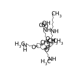 CCCCCCCCNCCC[C@@H](C)[C@H]1CC[C@H]2C3C(C[C@H](OCCCNCS(=O)(=O)O)[C@]12C)[C@@]1(C)CC[C@@H](OCCCNC)CC1C[C@H]3OCCCNC